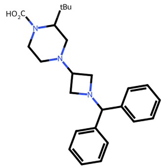 CC(C)(C)C1CN(C2CN(C(c3ccccc3)c3ccccc3)C2)CCN1C(=O)O